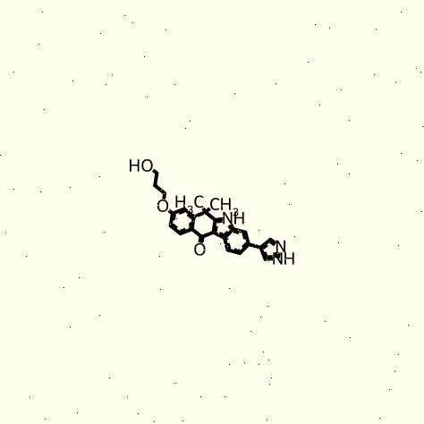 CC1(C)c2cc(OCCCO)ccc2C(=O)c2c1[nH]c1cc(-c3cn[nH]c3)ccc21